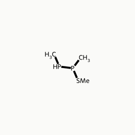 CPP(C)SC